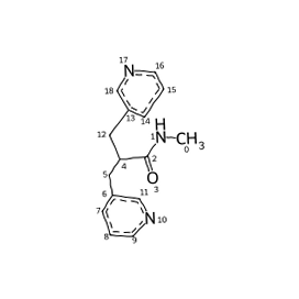 CNC(=O)C(Cc1cccnc1)Cc1cccnc1